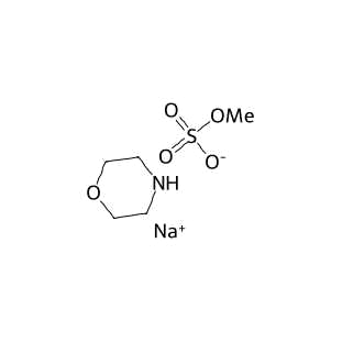 C1COCCN1.COS(=O)(=O)[O-].[Na+]